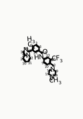 Cc1ccc(C(=O)Nc2ccc(CN3CCN(C)CC3)c(C(F)(F)F)c2)cc1-c1ncc2ccccn12